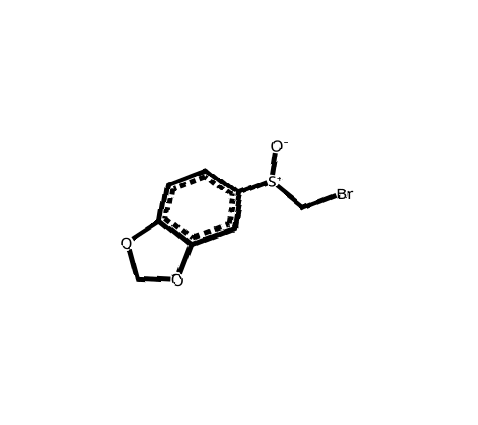 [O-][S+](CBr)c1ccc2c(c1)OCO2